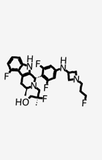 C[C@H]1Cc2c([nH]c3cccc(F)c23)[C@H](c2c(F)cc(NC3CN(CCCF)C3)cc2F)N1C[C@@](C)(F)CO